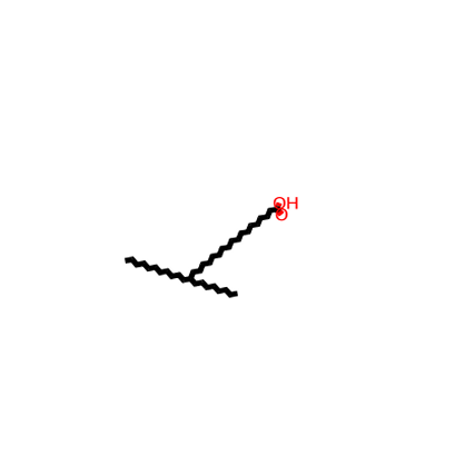 CCCCCCCCCCCC(CCCCCCCC)CCCCCCCCCCCCCCCCCC(=O)O